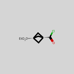 CCOC(=O)[C@]12C[C@](C(=O)Cl)(C1)C2